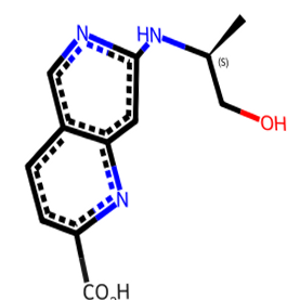 C[C@@H](CO)Nc1cc2nc(C(=O)O)ccc2cn1